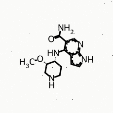 CO[C@H]1CNCC[C@H]1Nc1c(C(N)=O)cnc2[nH]ccc12